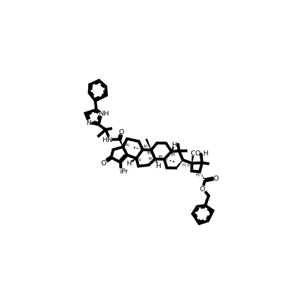 CC(C)C1=C2[C@H]3CC[C@@H]4[C@]5(C)CC[C@H]([C@@]6(C(=O)O)C[C@@H](C(=O)OCc7ccccc7)C6(C)C)C(C)(C)[C@H]5CC[C@@]4(C)[C@]3(C)CC[C@@]2(C(=O)NC(C)(C)c2ncc(-c3ccccc3)[nH]2)CC1=O